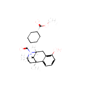 COC(=O)[C@H]1CC[C@H](C(=O)N2CC[C@@]3(C)c4cccc(O)c4C[C@@H]2C3(C)C)CC1